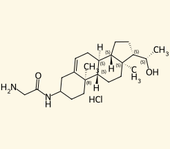 C[C@H](O)[C@H]1CC[C@H]2[C@@H]3CC=C4CC(NC(=O)CN)CC[C@]4(C)[C@H]3CC[C@]12C.Cl